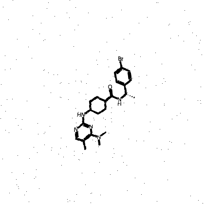 Cc1cnc(NC2CCC(C(=O)N[C@@H](C)c3ccc(Br)cc3)CC2)nc1N(C)C